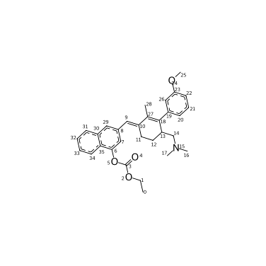 CCOC(=O)Oc1cc(C=C2CCC(CN(C)C)C(c3cccc(OC)c3)=C2C)cc2ccccc12